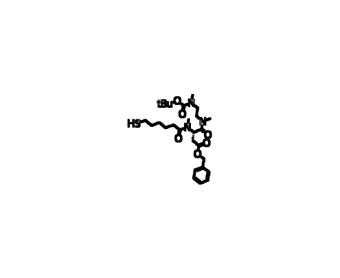 CN(CCN(C)C(=O)[C@H](CC(=O)OCc1ccccc1)N(C)C(=O)CCCCCS)C(=O)OC(C)(C)C